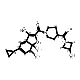 CC12OC(C(=O)N3CCC(C(=O)N4CC(O)C4)CC3)=C(C#N)C1=CC(C1CC1)=CC2C(F)(F)F